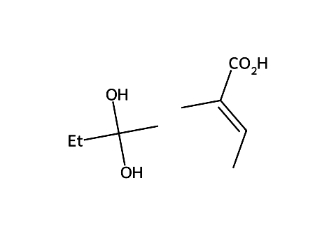 CC=C(C)C(=O)O.CCC(C)(O)O